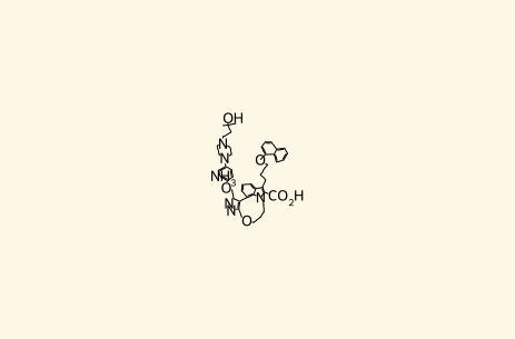 Cn1nc(COc2ccc(N3CCN(CCC(C)(C)O)CC3)cc2)c2c1COCCCCn1c(C(=O)O)c(CCCOc3cccc4ccccc34)c3cccc-2c31.N